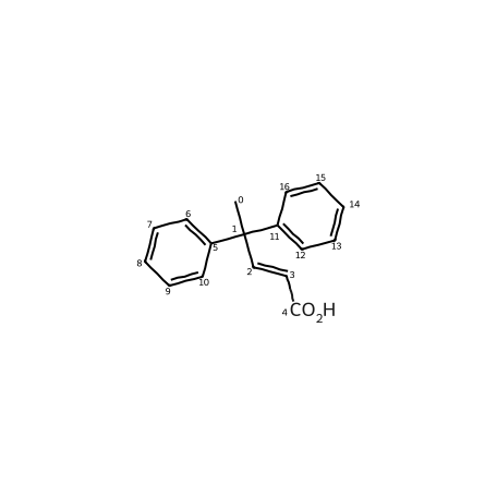 CC(C=CC(=O)O)(c1ccccc1)c1ccccc1